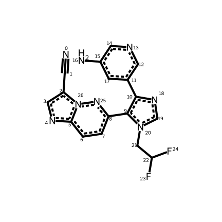 N#Cc1cnc2ccc(-c3c(-c4cncc(N)c4)ncn3CC(F)F)nn12